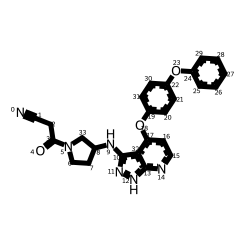 N#CCC(=O)N1CCC(Nc2n[nH]c3nccc(Oc4ccc(Oc5ccccc5)cc4)c23)C1